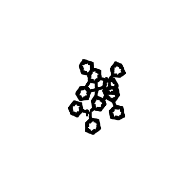 c1ccc(-c2ccc(N(c3ccccc3)c3cc4ccccc4c4c3C3(c5ccccc5-c5ccc(N(c6ccccc6)c6ccccc6)cc53)c3ccccc3-4)cc2)cc1